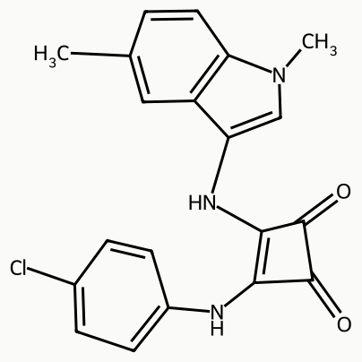 Cc1ccc2c(c1)c(Nc1c(Nc3ccc(Cl)cc3)c(=O)c1=O)cn2C